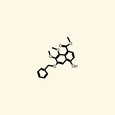 COC(=O)c1ccc(O)c2cc(OCc3ccccc3)c(OC)c(OC)c12